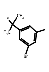 Cc1cc(Br)cc(C(F)(C(F)(F)F)C(F)(F)F)c1